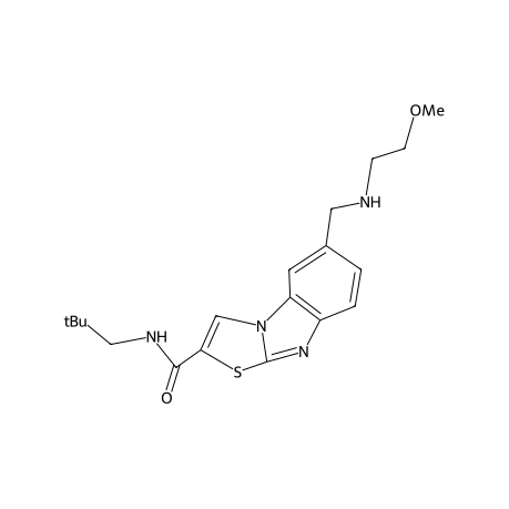 COCCNCc1ccc2nc3sc(C(=O)NCC(C)(C)C)cn3c2c1